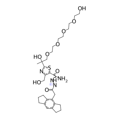 CC(O)(COCCOCCOCCOCCO)c1nc(CO)c([SH](N)(=O)/N=N/C(=O)Cc2c3c(cc4c2CCC4)CCC3)s1